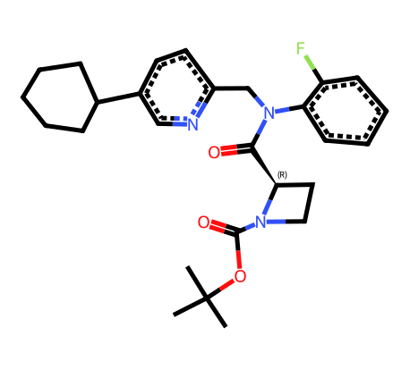 CC(C)(C)OC(=O)N1CC[C@@H]1C(=O)N(Cc1ccc(C2CCCCC2)cn1)c1ccccc1F